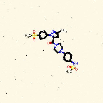 Cc1cc(C(=O)N2CCN(c3ccc(NS(C)(=O)=O)cc3)CC2)n(-c2ccc(S(C)(=O)=O)cc2)n1